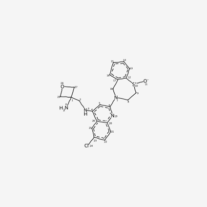 NC1(CNc2cc(N3CC[S+]([O-])c4ccccc4C3)nc3ccc(Cl)cc23)COC1